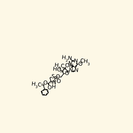 COc1nc(N)nc2c1ncn2[C@@H]1OC(CO[P@@]2(=O)N[C@@H](C(=O)O[C@@H](C)c3ccccc3)CS2)[C@@H](O)[C@@]1(C)O